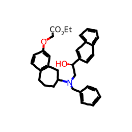 CCOC(=O)COc1ccc2c(c1)CC(N(Cc1ccccc1)C[C@@H](O)c1ccc3ccccc3c1)CCC2